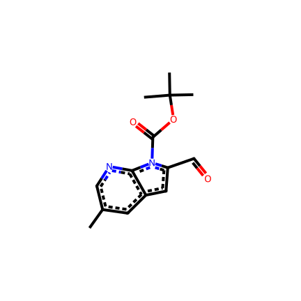 Cc1cnc2c(c1)cc(C=O)n2C(=O)OC(C)(C)C